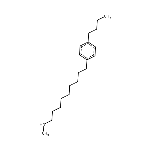 CCCCc1ccc(CCCCCCCCCNC)cc1